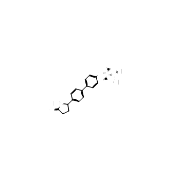 CN(C)S(=O)(=O)Oc1ccc(-c2ccc(C3CCC(=O)N3)cc2)cc1